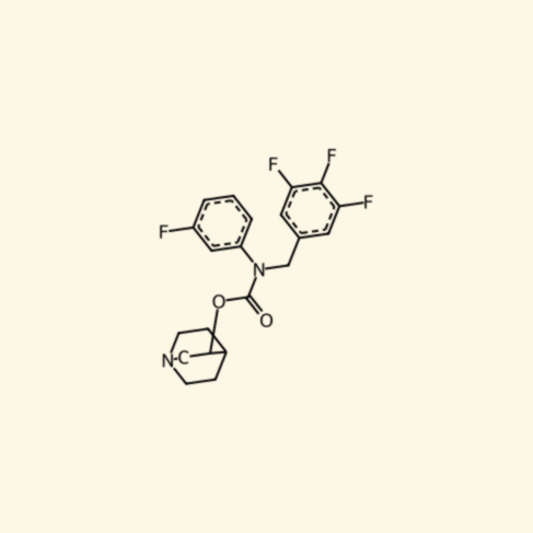 O=C(OC1CN2CCC1CC2)N(Cc1cc(F)c(F)c(F)c1)c1cccc(F)c1